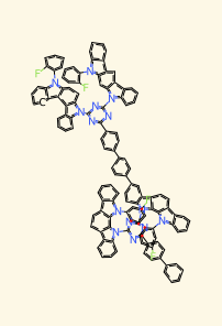 Fc1cccc(-n2c3ccccc3c3ccc4c5ccccc5n(-c5nc(-c6ccc(-c7ccccc7)cc6)nc(-n6c7ccc(-c8ccc(-c9ccc(-c%10nc(-n%11c%12ccccc%12c%12cc%13c%14ccccc%14n(-c%14ccccc%14F)c%13cc%12%11)nc(-n%11c%12ccccc%12c%12c%13c%14ccccc%14n(-c%14ccccc%14F)c%13ccc%12%11)n%10)cc9)cc8)cc7c7ccc8c9ccccc9n(-c9cccc(F)c9)c8c76)n5)c4c32)c1